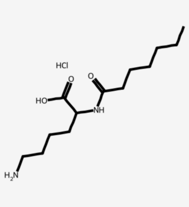 CCCCCCC(=O)NC(CCCCN)C(=O)O.Cl